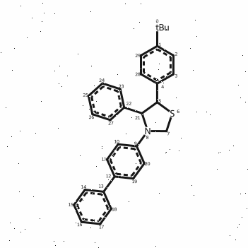 CC(C)(C)c1ccc(C2SCN(c3ccc(-c4ccccc4)cc3)C2c2ccccc2)cc1